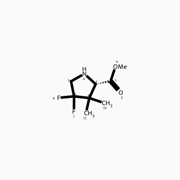 COC(=O)[C@H]1NCC(F)(F)C1(C)C